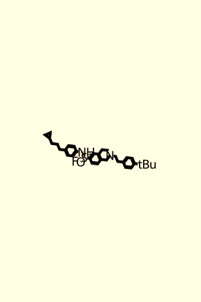 CC(C)(C)c1ccc(CCN2CCc3cc([S+]([O-])Nc4ccc(CCCC5CC5)cc4F)ccc3C2)cc1